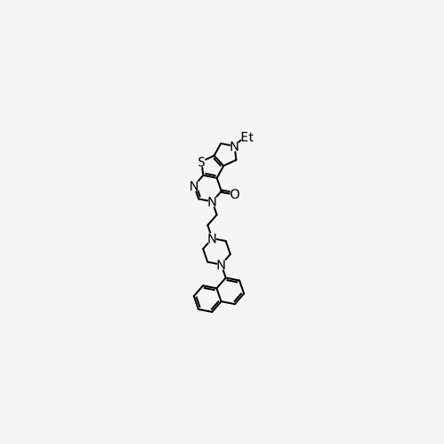 CCN1Cc2sc3ncn(CCN4CCN(c5cccc6ccccc56)CC4)c(=O)c3c2C1